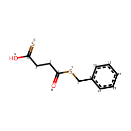 O=C(CCC(O)=S)SCc1ccccc1